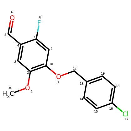 COc1cc(C=O)c(F)cc1OCc1ccc(Cl)cc1